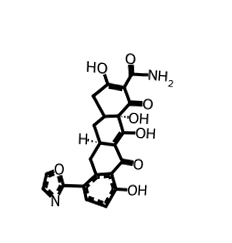 NC(=O)C1=C(O)CC2C[C@@H]3Cc4c(-c5ncco5)ccc(O)c4C(=O)C3=C(O)[C@]2(O)C1=O